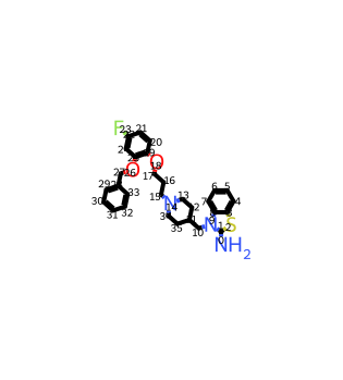 NC1Sc2ccccc2N1CC1CCN(CCCOc2ccc(F)cc2OCc2ccccc2)CC1